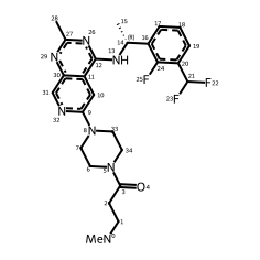 CNCCC(=O)N1CCN(c2cc3c(N[C@H](C)c4cccc(C(F)F)c4F)nc(C)nc3cn2)CC1